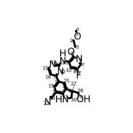 COCCOc1ncc(F)cc1Nc1nccc(-c2cc(C#N)c3c(c2)[C@@](C)(CO)CN3)n1